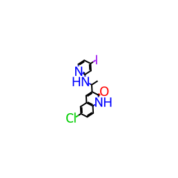 CC(Nc1cc(I)ccn1)c1cc2cc(Cl)ccc2[nH]c1=O